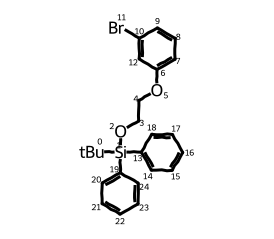 CC(C)(C)[Si](OCCOc1cccc(Br)c1)(c1ccccc1)c1ccccc1